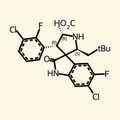 CC(C)(C)C[C@@H]1N[C@@H](C(=O)O)[C@@H](c2cccc(Cl)c2F)C12C(=O)Nc1cc(Cl)c(F)cc12